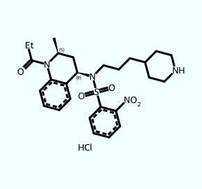 CCC(=O)N1c2ccccc2[C@H](N(CCCC2CCNCC2)S(=O)(=O)c2ccccc2[N+](=O)[O-])C[C@@H]1C.Cl